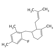 CC(C)=CCC1C(C)=CCCC1Cc1c(C)cc(C)cc1F